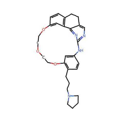 c1cc(CCCN2CCCC2)c2cc1Nc1ncc3c(n1)-c1cc(ccc1CC3)OCCOCCO2